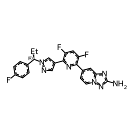 CC[C@H](c1ccc(F)cc1)n1cc(-c2nc(-c3ccn4nc(N)nc4c3)c(F)cc2F)cn1